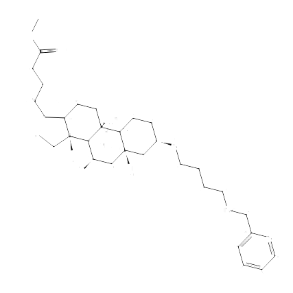 COC(=O)CC[C@@H](C)[C@H]1CC[C@H]2[C@@H]3[C@H](O)C[C@H]4C[C@H](NCCCCNCc5ccccn5)CC[C@]4(C)[C@H]3CC[C@]12C